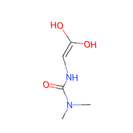 CN(C)C(=O)NC=C(O)O